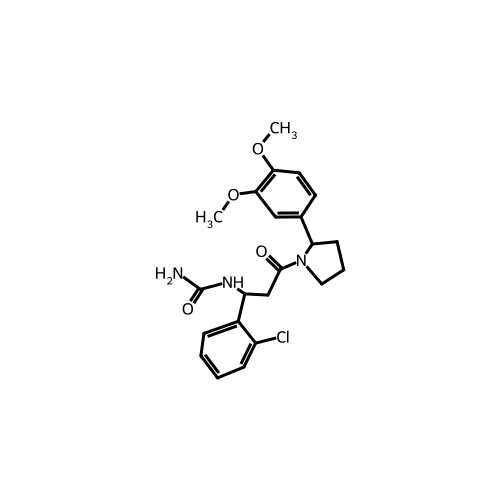 COc1ccc(C2CCCN2C(=O)CC(NC(N)=O)c2ccccc2Cl)cc1OC